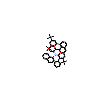 CC(C)(C)c1cc(-c2cccc3cccc(-c4ccccc4N(c4cccc5c4-c4ccccc4C5(C)C)c4cccc5ccccc45)c23)cc(C(C)(C)C)c1